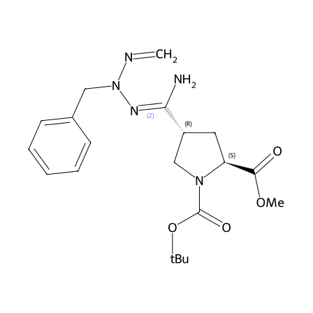 C=NN(Cc1ccccc1)/N=C(\N)[C@@H]1C[C@@H](C(=O)OC)N(C(=O)OC(C)(C)C)C1